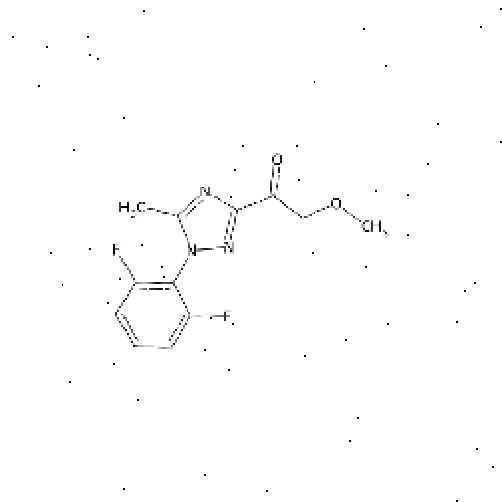 COCC(=O)c1nc(C)n(-c2c(F)cccc2F)n1